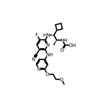 COCCOc1cc(Nc2nc(N[C@@H](C3CCC3)[C@H](C)NC(=O)O)c(F)cc2C#N)ccn1